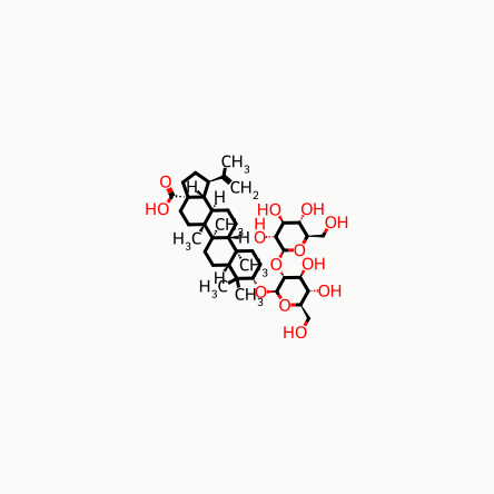 C=C(C)[C@@H]1CC[C@]2(C(=O)O)CC[C@]3(C)[C@H](CC[C@@H]4[C@@]5(C)CC[C@H](O[C@@H]6O[C@H](CO)[C@@H](O)[C@H](O)[C@H]6O[C@@H]6O[C@H](CO)[C@@H](O)[C@H](O)[C@H]6O)C(C)(C)[C@@H]5CC[C@]43C)[C@@H]12